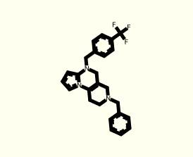 FC(F)(F)c1ccc(CN2CC3=C(CCN(Cc4ccccc4)C3)n3cccc32)cc1